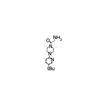 C[C@@H]1CN(c2ccc(C(C)(C)C)cn2)C[C@H](C)N1C(=O)CN